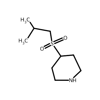 CC(C)CS(=O)(=O)C1CCNCC1